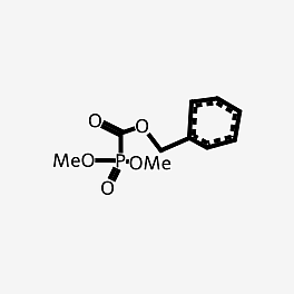 COP(=O)(OC)C(=O)OCc1ccccc1